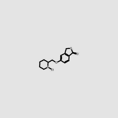 CCN1CCCCC1COc1ccc2c(c1)COC2=O